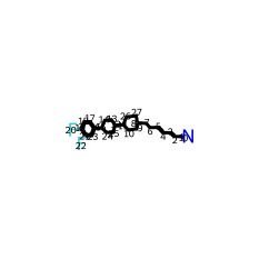 N#CC=CC=CCCC1CCC(C2CCC(c3ccc(F)c(F)c3)CC2)CC1